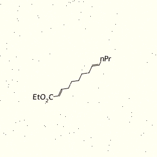 CCC/C=C/CCCCC/C=C/C(=O)OCC